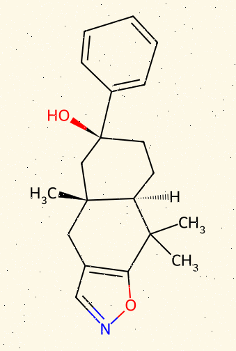 CC1(C)c2oncc2C[C@]2(C)C[C@](O)(c3ccccc3)CC[C@@H]12